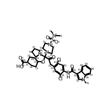 CN(C)S(=O)(=O)N1CCN(C(OC2CCC(C(=O)O)CC2)(C(=O)Cc2cc(Cl)c(NC(=O)c3cn(C)c4ccccc34)cc2Cl)N2CCCC2)CC1